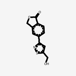 O=C1OCc2cc(-c3cc(CO)sn3)ccc21